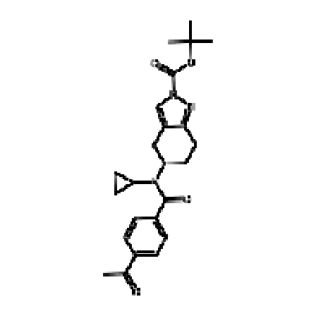 CC(=O)c1ccc(C(=O)N(C2CC2)C2CCc3nn(C(=O)OC(C)(C)C)cc3C2)cc1